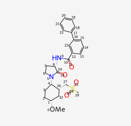 CO[C@@H]1CC[C@H](N2CC[C@H](NC(=O)c3cccc(-c4c[c]ccc4)c3)C2=O)[C@H](CS(C)(=O)=O)C1